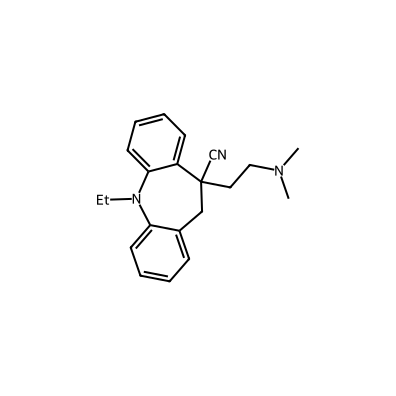 CCN1c2ccccc2CC(C#N)(CCN(C)C)c2ccccc21